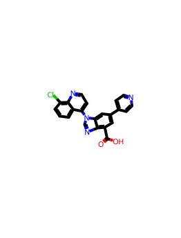 O=C(O)c1cc(-c2ccncc2)cc2c1ncn2-c1ccnc2c(Cl)cccc12